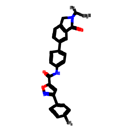 CC(C)[C@@H](C(=O)O)N1Cc2ccc(-c3ccc(NC(=O)c4cc(-c5ccc(C(F)(F)F)cc5)no4)cc3)cc2C1=O